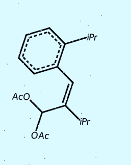 CC(=O)OC(OC(C)=O)C(=Cc1ccccc1C(C)C)C(C)C